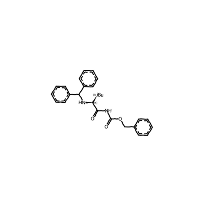 CC[C@H](C)[C@H](NC(c1ccccc1)c1ccccc1)C(=O)NC(=O)OCc1ccccc1